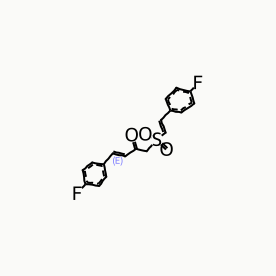 O=C(/C=C/c1ccc(F)cc1)CS(=O)(=O)C=Cc1ccc(F)cc1